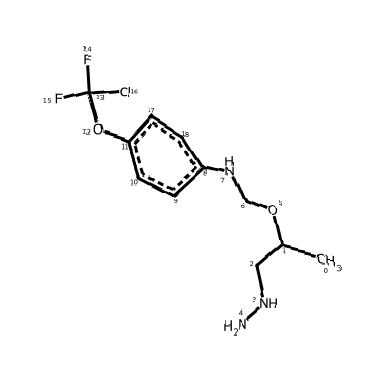 CC(CNN)OCNc1ccc(OC(F)(F)Cl)cc1